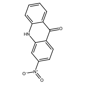 O=c1c2ccccc2[nH]c2cc([N+](=O)[O-])ccc12